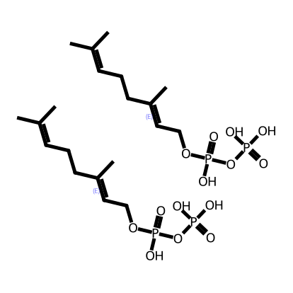 CC(C)=CCC/C(C)=C/COP(=O)(O)OP(=O)(O)O.CC(C)=CCC/C(C)=C/COP(=O)(O)OP(=O)(O)O